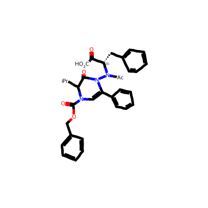 CC(=O)N([C@@H](Cc1ccccc1)C(=O)C(=O)O)N1C(=O)C(C(C)C)N(C(=O)OCc2ccccc2)C=C1c1ccccc1